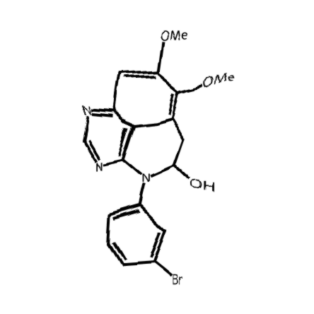 COc1cc2ncnc3c2c(c1OC)CC(O)N3c1cccc(Br)c1